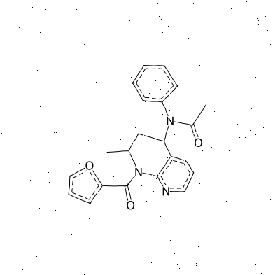 CC(=O)N(c1ccccc1)C1CC(C)N(C(=O)c2ccco2)c2ncccc21